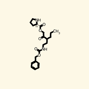 CCCC(CCNC(=O)OCc1ccccc1)C(=O)COC(=O)[C@@H]1CCCN1